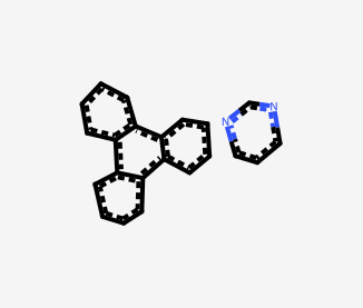 c1ccc2c(c1)c1ccccc1c1ccccc21.c1cncnc1